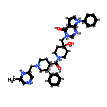 Cc1cncc(CN2CC[C@@H](C(=O)N3CCC(O)(Cn4cnc5c(ccn5-c5ccccc5)c4=O)CC3)[C@H](c3ccccc3)C2)n1